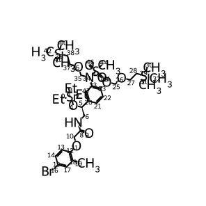 CC[Si](CC)(CC)O[C@H](CNC(=O)COc1ccc(Br)cc1C)c1ccc(OCOCC[Si](C)(C)C)c(N(COCC[Si](C)(C)C)S(C)(=O)=O)c1